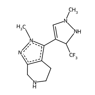 CN1C=C(c2c3c(nn2C)CNCC3)C(C(F)(F)F)N1